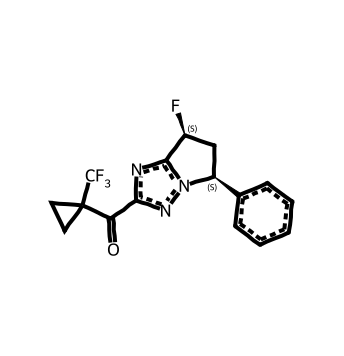 O=C(c1nc2n(n1)[C@H](c1ccccc1)C[C@@H]2F)C1(C(F)(F)F)CC1